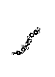 N#Cc1ccc(CN2CCC(NC(=O)c3cn4cnc(OC5CCN(c6ccc(C(F)(F)F)cc6)CC5)cc4n3)CC2)cc1